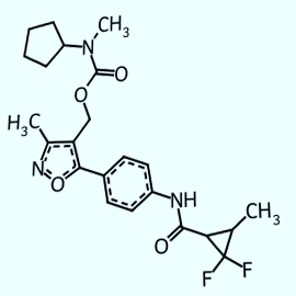 Cc1noc(-c2ccc(NC(=O)C3C(C)C3(F)F)cc2)c1COC(=O)N(C)C1CCCC1